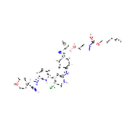 CCCCOC(=O)NCCOCC(C)NC1CCC(Nc2cc(-c3cccc(NCC4(C#N)CCOCC4)n3)c(Cl)cn2)CC1